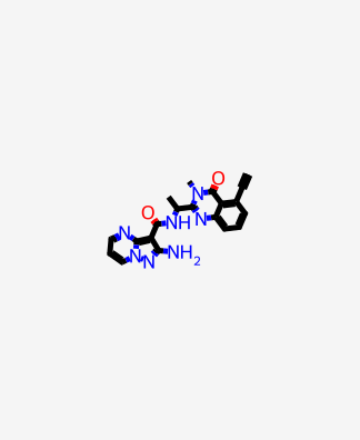 C#Cc1cccc2nc(C(C)NC(=O)c3c(N)nn4cccnc34)n(C)c(=O)c12